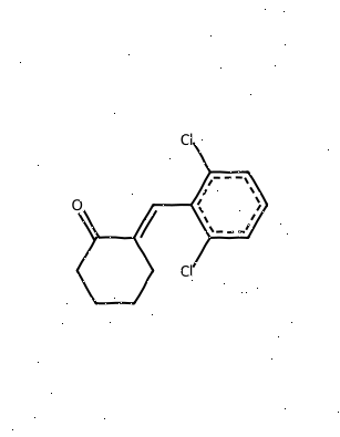 O=C1CCCCC1=Cc1c(Cl)cccc1Cl